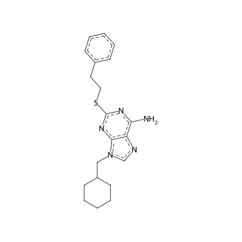 Nc1nc(SCCc2ccccc2)nc2c1ncn2CC1CCCCC1